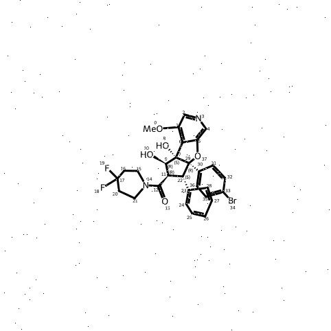 COc1cncc2c1[C@]1(O)[C@H](O)[C@H](C(=O)N3CCC(F)(F)CC3)[C@@H](c3ccccc3)[C@]1(c1ccc(Br)cc1)O2